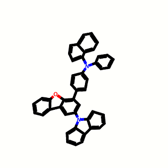 c1ccc(N(c2ccc(-c3cc(-n4c5ccccc5c5ccccc54)cc4c3oc3ccccc34)cc2)c2cccc3ccccc23)cc1